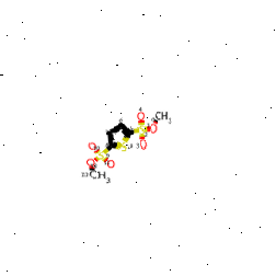 COS(=O)(=O)c1ccc(S(=O)(=O)OC)s1